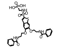 O=C(NCCOc1cc2cc(S(=O)(=O)NCP(=O)(O)O)sc2cc1OCCNC(=O)c1ccccc1)c1ccccc1